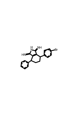 N=C1NC(=N)C2=C1C(c1ccccc1)CCC2c1ccc(Br)cc1